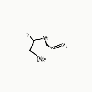 C=NNC(CC)COC